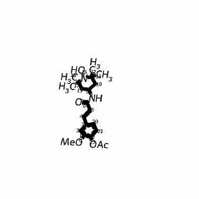 COc1cc(C=CC(=O)NC2CC(C)(C)N(O)C(C)(C)C2)ccc1OC(C)=O